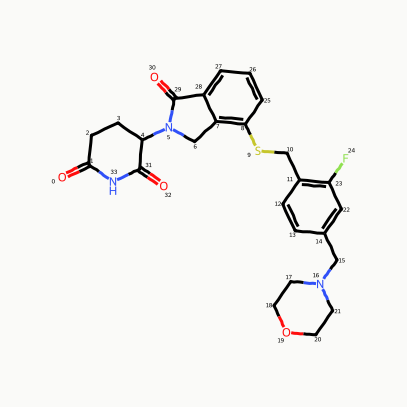 O=C1CCC(N2Cc3c(SCc4ccc(CN5CCOCC5)cc4F)cccc3C2=O)C(=O)N1